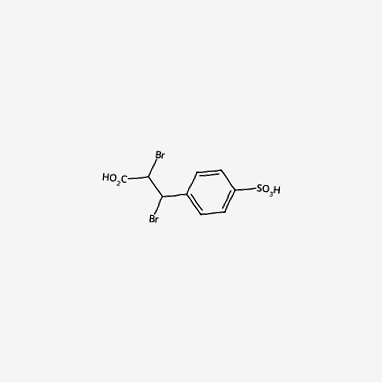 O=C(O)C(Br)C(Br)c1ccc(S(=O)(=O)O)cc1